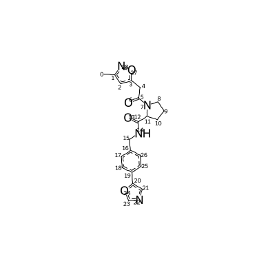 Cc1cc(CC(=O)N2CCCC2C(=O)NCc2ccc(-c3cnco3)cc2)on1